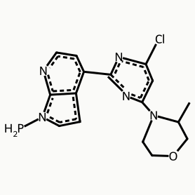 CC1COCCN1c1cc(Cl)nc(-c2ccnc3c2ccn3P)n1